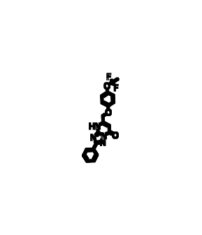 CC(F)(F)Oc1ccc(OCc2cc(=O)n3nc(-c4ccccc4)nc3[nH]2)cc1